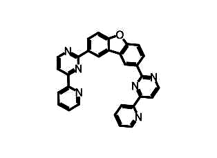 c1ccc(-c2ccnc(-c3ccc4oc5ccc(-c6nccc(-c7ccccn7)n6)cc5c4c3)n2)nc1